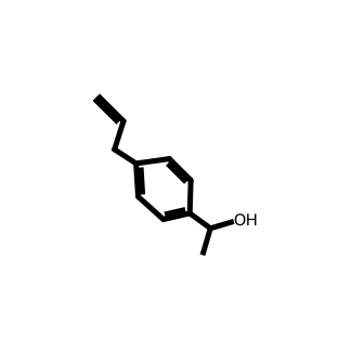 C=CCc1ccc(C(C)O)cc1